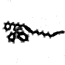 CCCCC#CCCCCCCCC#CCCCC(OC1CCCCO1)O[Si](c1ccccc1)(c1ccccc1)C(C)(C)C